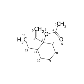 C=CC1(OC(C)=O)CCCCC1CC